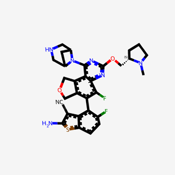 CN1CCC[C@H]1COc1nc(N2C3CNCC2C3)c2c3c(c(-c4c(F)ccc5sc(N)c(C#N)c45)c(F)c2n1)COC3